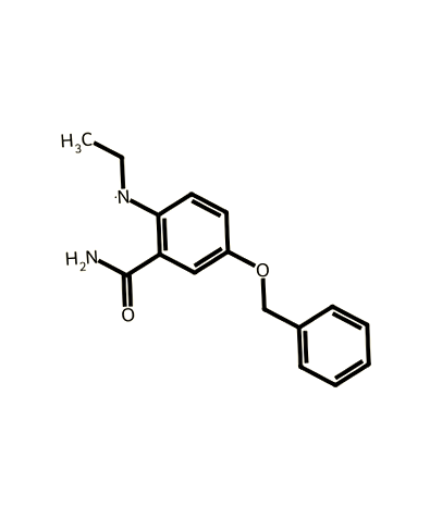 CC[N]c1ccc(OCc2ccccc2)cc1C(N)=O